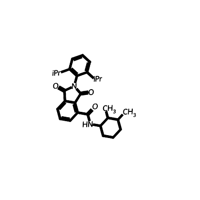 CC(C)c1cccc(C(C)C)c1N1C(=O)c2cccc(C(=O)NC3CCCC(C)C3C)c2C1=O